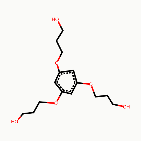 OCCCOc1cc(OCCCO)cc(OCCCO)c1